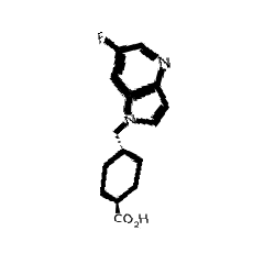 O=C(O)[C@H]1CC[C@H](Cn2ccc3ncc(F)cc32)CC1